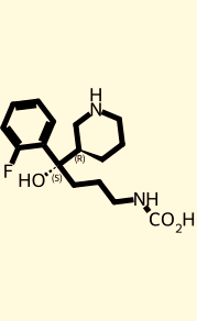 O=C(O)NCCC[C@@](O)(c1ccccc1F)[C@@H]1CCCNC1